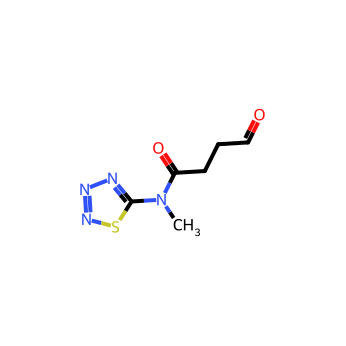 CN(C(=O)CCC=O)c1nnns1